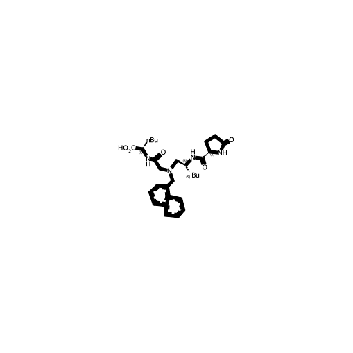 CCCC[C@H](NC(=O)CN(Cc1cccc2ccccc12)C[C@@H](NC(=O)[C@@H]1CCC(=O)N1)[C@@H](C)CC)C(=O)O